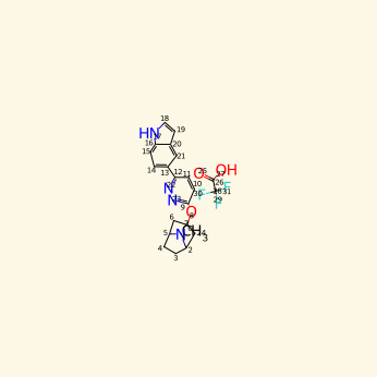 CN1C2CCC1CC(Oc1ccc(-c3ccc4[nH]ccc4c3)nn1)C2.O=C(O)C(F)(F)F